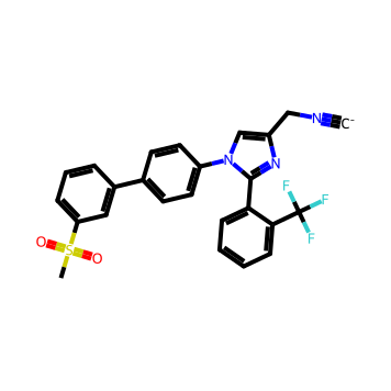 [C-]#[N+]Cc1cn(-c2ccc(-c3cccc(S(C)(=O)=O)c3)cc2)c(-c2ccccc2C(F)(F)F)n1